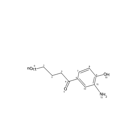 CCCCCCCCCCCC(=O)c1ccc(O)c(N)c1